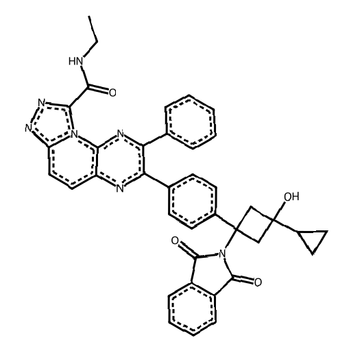 CCNC(=O)c1nnc2ccc3nc(-c4ccc(C5(N6C(=O)c7ccccc7C6=O)CC(O)(C6CC6)C5)cc4)c(-c4ccccc4)nc3n12